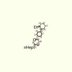 CCCCCCC[C@H]1CO[C@H](c2ccc([C@@H]3CCCC[C@H]3CC)cc2)CO1